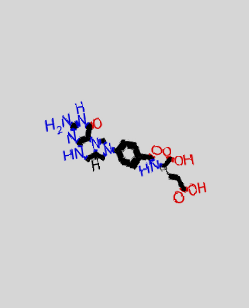 Nc1nc2c(c(=O)[nH]1)N1CN(c3ccc(C(=O)N[C@@H](CCC(=O)O)C(=O)O)cc3)C[C@H]1CN2